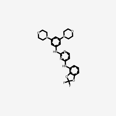 FC1(F)Oc2cccc(Nc3ccnc(Nc4cc(N5CCOCC5)cc(N5CCOCC5)c4)n3)c2O1